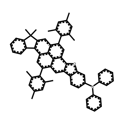 Cc1cc(C)c(-c2cc3c4oc5cc(N(c6ccccc6)c6ccccc6)ccc5c4cc4c(-c5c(C)cc(C)cc5C)cc5c6c(cc2c5c43)C(C)(C)c2ccccc2-6)c(C)c1